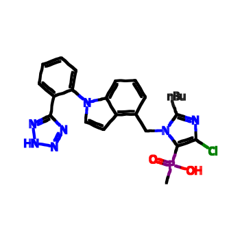 CCCCc1nc(Cl)c(P(C)(=O)O)n1Cc1cccc2c1ccn2-c1ccccc1-c1nn[nH]n1